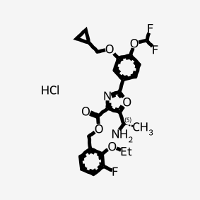 CCOc1c(F)cccc1COC(=O)c1nc(-c2ccc(OC(F)F)c(OCC3CC3)c2)oc1[C@H](C)N.Cl